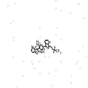 CC1(c2ncccn2)C(=O)Nc2nc(-c3nn(CCC(F)(F)C(F)(F)F)c4ncccc34)nc(N)c21